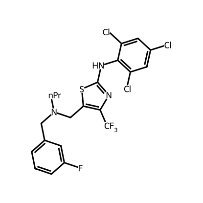 CCCN(Cc1cccc(F)c1)Cc1sc(Nc2c(Cl)cc(Cl)cc2Cl)nc1C(F)(F)F